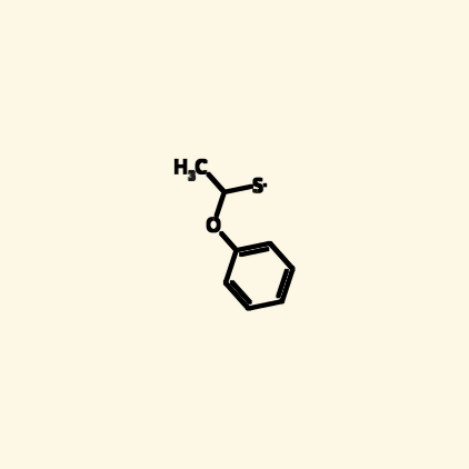 CC([S])Oc1ccccc1